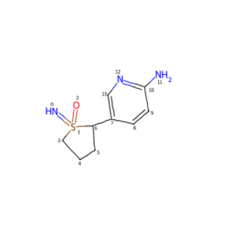 N=S1(=O)CCCC1c1ccc(N)nc1